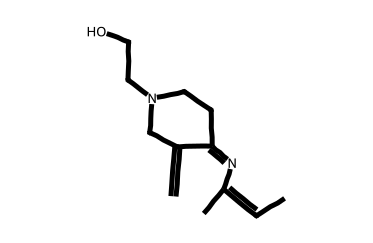 C=C1CN(CCO)CC/C1=N/C(C)=C\C